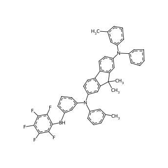 Cc1cccc(N(c2ccccc2)c2ccc3c(c2)C(C)(C)c2cc(N(c4cccc(C)c4)c4cccc(Bc5c(F)c(F)c(F)c(F)c5F)c4)ccc2-3)c1